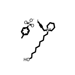 Cc1ccc(S(=O)(=O)[O-])cc1.OCCCCCCCCC[N+]1(CC#CI)CCCCC1